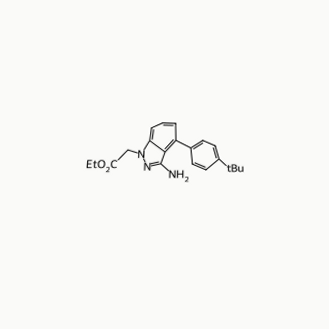 CCOC(=O)Cn1nc(N)c2c(-c3ccc(C(C)(C)C)cc3)cccc21